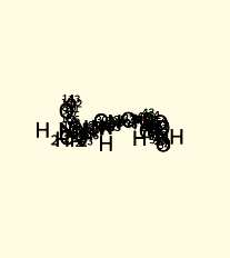 NC(=O)c1c(-c2ccc(Oc3ccccc3)cc2)nn2c1NCC[C@H]2C1CCN(C(=O)NC2CN(CCOCCNc3cccc4c3C(=O)N(C3CCC(=O)NC3=O)C4=O)C2)CC1